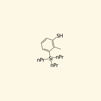 CCC[Si](CCC)(CCC)c1cccc(S)c1C